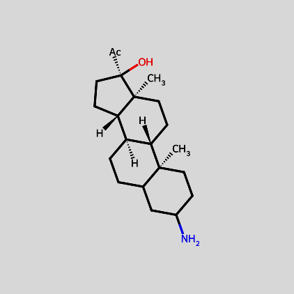 CC(=O)[C@@]1(O)CC[C@H]2[C@@H]3CCC4CC(N)CC[C@]4(C)[C@H]3CC[C@@]21C